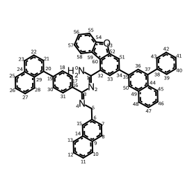 N/C(=N\C(=N/Cc1ccc2ccccc2c1)c1ccc(-c2cccc3ccccc23)cc1)c1cc(-c2cc(-c3ccccc3)c3ccccc3c2)cc2oc3ccccc3c12